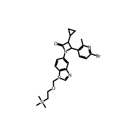 Cc1nc(Br)ccc1C1C(C2CC2)C(=O)N1c1ccc2c(c1)ncn2COCC[Si](C)(C)C